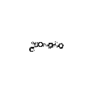 O=C(NC1CCCCC1)c1ccc(NCC2CCC3(CC2)CN(c2ccccn2)C(=O)O3)nc1